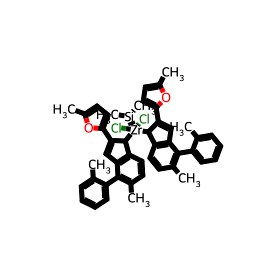 Cc1ccc(C2=Cc3c(ccc(C)c3-c3ccccc3C)[CH]2[Zr]([Cl])([Cl])([CH]2C(c3ccc(C)o3)=Cc3c2ccc(C)c3-c2ccccc2C)=[Si](C)C)o1